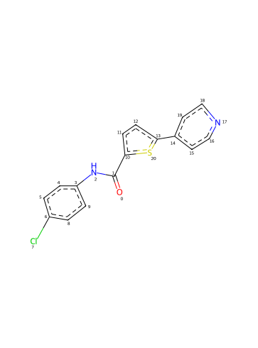 O=C(Nc1ccc(Cl)cc1)c1ccc(-c2ccncc2)s1